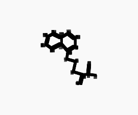 C=C(C)C(=C)CCCc1cccc2ccccc12